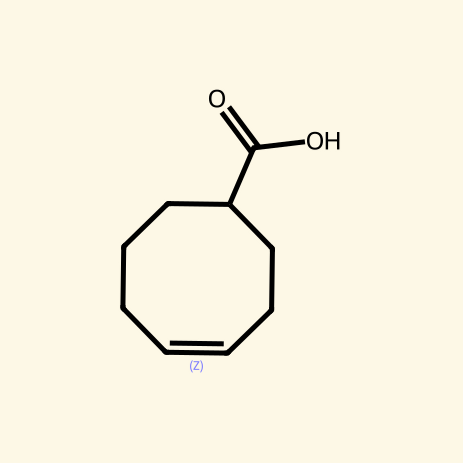 O=C(O)C1CC/C=C\CCC1